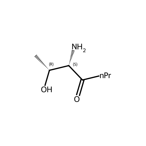 CCCC(=O)[C@@H](N)[C@@H](C)O